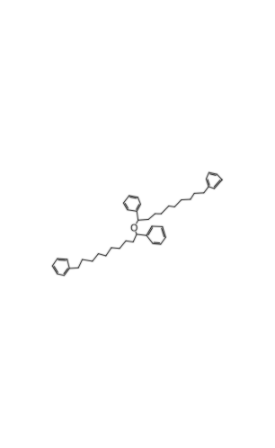 c1ccc(CCCCCCCCCC(OC(CCCCCCCCCc2ccccc2)c2ccccc2)c2ccccc2)cc1